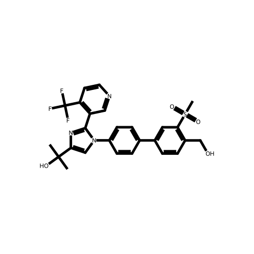 CC(C)(O)c1cn(-c2ccc(-c3ccc(CO)c(S(C)(=O)=O)c3)cc2)c(-c2cnccc2C(F)(F)F)n1